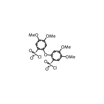 COc1cc(Oc2cc(OC)c(OC)cc2S(=O)(=O)Cl)c(S(=O)(=O)Cl)cc1OC